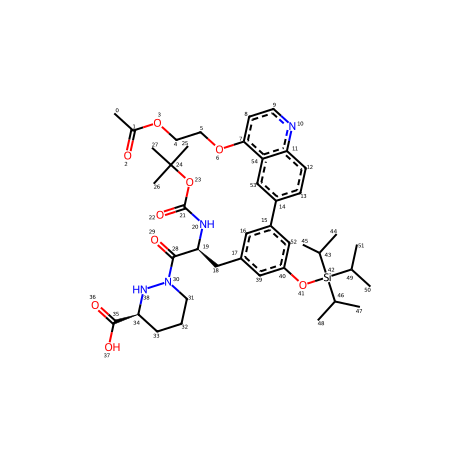 CC(=O)OCCOc1ccnc2ccc(-c3cc(C[C@H](NC(=O)OC(C)(C)C)C(=O)N4CCC[C@@H](C(=O)O)N4)cc(O[Si](C(C)C)(C(C)C)C(C)C)c3)cc12